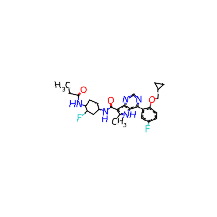 CCC(=O)NC1CCC(NC(=O)c2c(C)[nH]c3c(-c4cc(F)ccc4OCC4CC4)ncnc23)CC1F